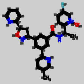 Cc1ccc(-c2cc(C(=O)N[C@H](C)c3ccc(F)c[n+]3[O-])cc(C3=NO[C@H](c4ccccn4)C3)c2)nc1